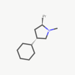 CC(C)[C@@H]1C[C@@H](C2CCCCC2)CN1C